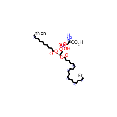 CC/C=C\C/C=C\C/C=C\C/C=C\C/C=C\CCCC(=O)O[C@H](COC(=O)CCCCCCC/C=C\CCCCCCCCC)COP(=O)(O)OC[C@H](N)C(=O)O